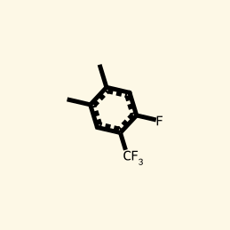 Cc1cc(F)c(C(F)(F)F)cc1C